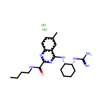 CCCCNC(=O)c1nc(N[C@H]2CCCC[C@H]2NC(=N)N)c2cc(C)ccc2n1.Cl.Cl